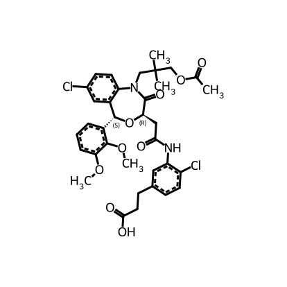 COc1cccc([C@H]2O[C@H](CC(=O)Nc3cc(CCC(=O)O)ccc3Cl)C(=O)N(CC(C)(C)COC(C)=O)c3ccc(Cl)cc32)c1OC